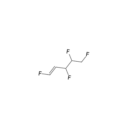 FC=CC(F)C(F)CF